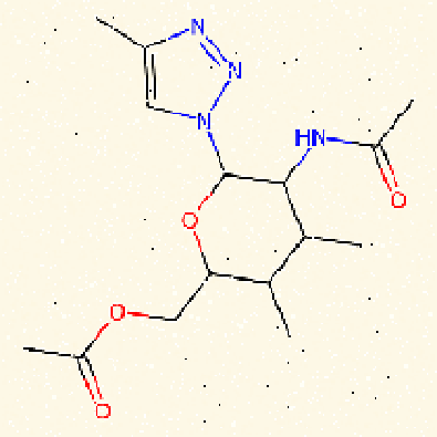 CC(=O)NC1C(C)C(C)C(COC(C)=O)OC1n1cc(C)nn1